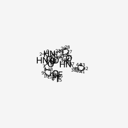 CC(C)[C@H](NC(=O)Cc1cccc(OC(F)(F)F)c1)C(=O)N[C@@H](Cc1ccccc1)[C@@H](O)CCC(=O)NCCc1ccccc1